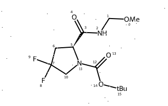 COCNC(=O)[C@@H]1CC(F)(F)CN1C(=O)OC(C)(C)C